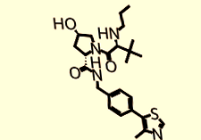 CCCN[C@H](C(=O)N1C[C@H](O)C[C@H]1C(=O)NCc1ccc(-c2scnc2C)cc1)C(C)(C)C